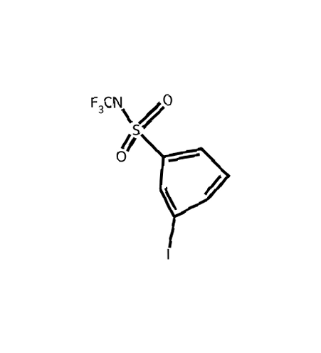 O=S(=O)(NC(F)(F)F)c1cccc(I)c1